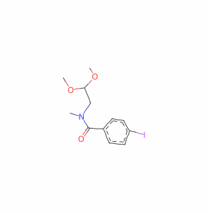 COC(CN(C)C(=O)c1ccc(I)cc1)OC